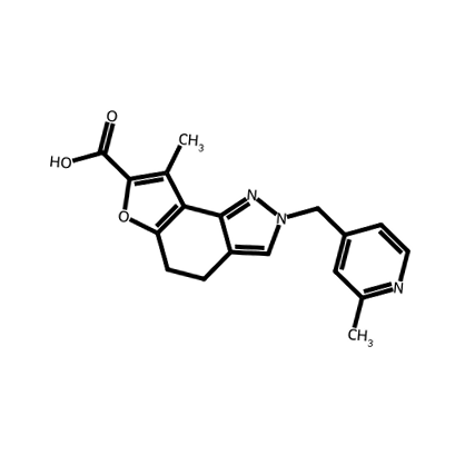 Cc1cc(Cn2cc3c(n2)-c2c(oc(C(=O)O)c2C)CC3)ccn1